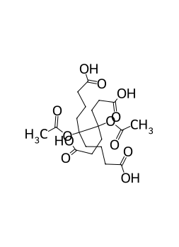 CC(=O)OC(CCCC(=O)O)(CCCC(=O)O)C(CCC(=O)O)(CCC(=O)O)OC(C)=O